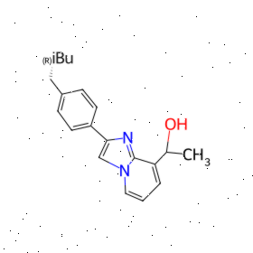 CC[C@@H](C)Cc1ccc(-c2cn3cccc(C(C)O)c3n2)cc1